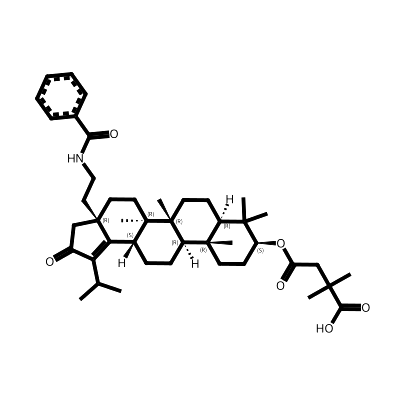 CC(C)C1=C2[C@H]3CC[C@@H]4[C@@]5(C)CC[C@H](OC(=O)CC(C)(C)C(=O)O)C(C)(C)[C@@H]5CC[C@@]4(C)[C@]3(C)CC[C@@]2(CCNC(=O)c2ccccc2)CC1=O